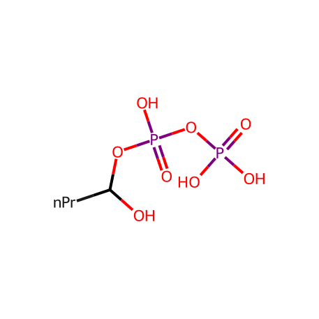 CCCC(O)OP(=O)(O)OP(=O)(O)O